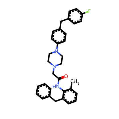 Cc1cccc(Cc2ccccc2)c1NC(=O)CN1CCN(c2ccc(Cc3ccc(F)cc3)cc2)CC1